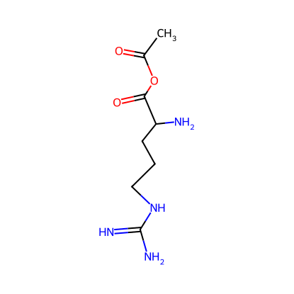 CC(=O)OC(=O)C(N)CCCNC(=N)N